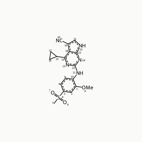 COc1cc(S(C)(=O)=O)ccc1Nc1nc(C2CC2)c2c(C#N)c[nH]c2n1